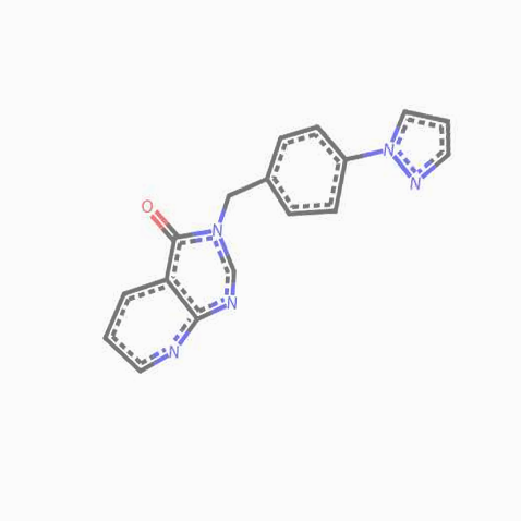 O=c1c2cccnc2ncn1Cc1ccc(-n2cccn2)cc1